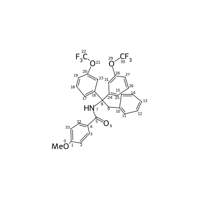 COc1ccc(C(=O)NC(Cc2ccccc2)(c2cccc(OC(F)(F)F)c2)c2cccc(OC(F)(F)F)c2)cc1